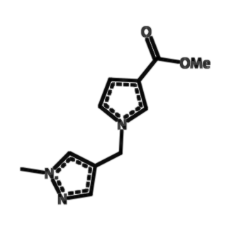 COC(=O)c1ccn(Cc2cnn(C)c2)c1